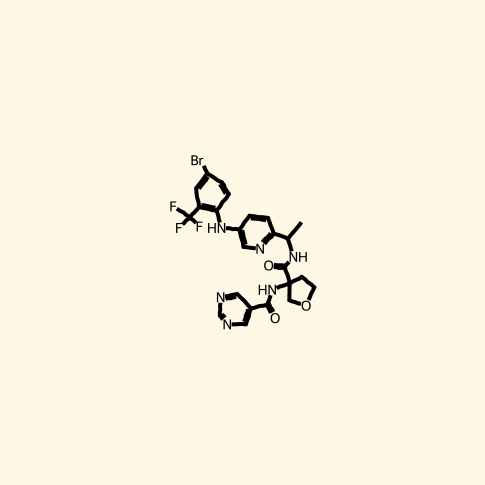 CC(NC(=O)C1(NC(=O)c2cncnc2)CCOC1)c1ccc(Nc2ccc(Br)cc2C(F)(F)F)cn1